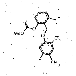 COC(=O)Oc1cccc(I)c1COc1cc(F)c(C)cc1C(F)(F)F